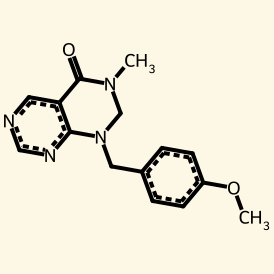 COc1ccc(CN2CN(C)C(=O)c3cncnc32)cc1